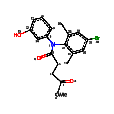 COC(=O)CCC(=O)N(c1cccc(O)c1)c1c(C)cc(Br)cc1C